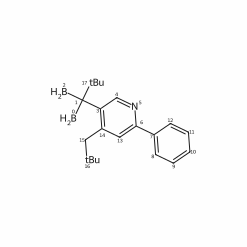 BC(B)(c1cnc(-c2ccccc2)cc1CC(C)(C)C)C(C)(C)C